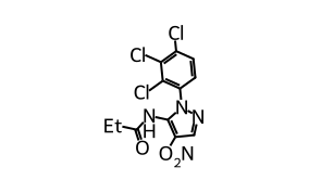 CCC(=O)Nc1c([N+](=O)[O-])cnn1-c1ccc(Cl)c(Cl)c1Cl